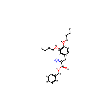 CCCCOc1ccc(C[C@H](N)C(=O)OCc2ccccc2)cc1OCCCC